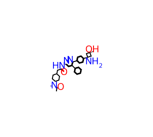 CC(=O)N(C)C1CCC(CC(=O)Nc2cc(-c3ccccc3)c(-c3ccc([C@]4(N)C[C@](C)(O)C4)cc3)nn2)CC1